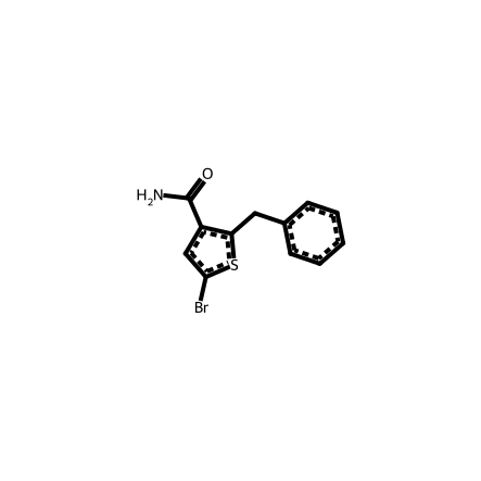 NC(=O)c1cc(Br)sc1Cc1ccccc1